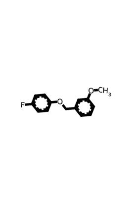 COc1cccc(COc2ccc(F)cc2)c1